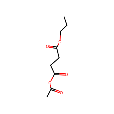 CCCOC(=O)CCC(=O)OC(C)=O